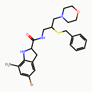 O=C(NCC(CN1CCOCC1)SCc1ccccc1)C1Cc2cc(Br)cc([N+](=O)[O-])c2N1